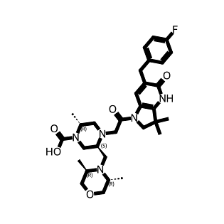 C[C@@H]1CN(CC(=O)N2CC(C)(C)c3[nH]c(=O)c(Cc4ccc(F)cc4)cc32)[C@@H](CN2[C@H](C)COC[C@H]2C)CN1C(=O)O